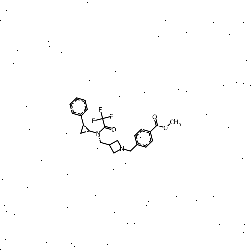 COC(=O)c1ccc(CN2CC(CN(C(=O)C(F)(F)F)C3CC3c3ccccc3)C2)cc1